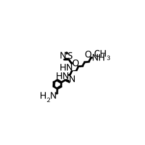 CNC(=O)CCCCC[C@H](NC(=O)c1cncs1)c1ncc(-c2cccc(CN)c2)[nH]1